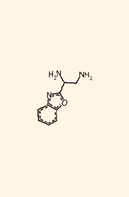 NCC(N)c1nc2ccccc2o1